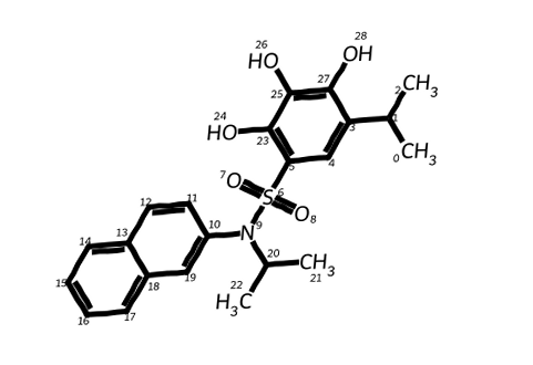 CC(C)c1cc(S(=O)(=O)N(c2ccc3ccccc3c2)C(C)C)c(O)c(O)c1O